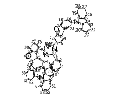 c1ccc(-c2nc(-c3ccc4c(c3)oc3ccc(-n5c6ccccc6c6ccccc65)cc34)nc(-c3cccc4oc5ccc(-c6cccc7c8ccccc8n(-c8ccccc8)c67)cc5c34)n2)cc1